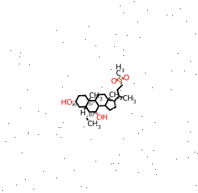 CC[C@H]1[C@@H](O)C2C3CCC([C@H](C)CCS(C)(=O)=O)[C@@]3(C)CCC2[C@@]2(C)CC[C@@H](O)C[C@@H]12